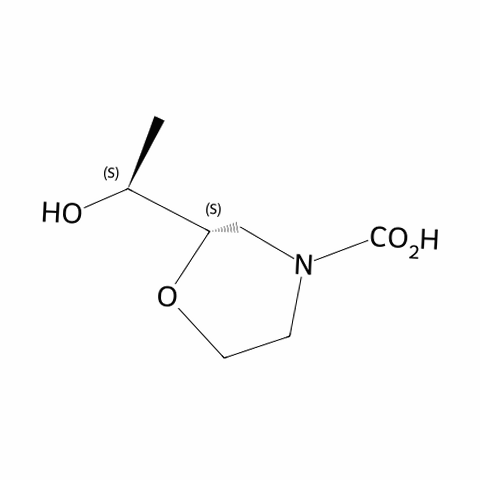 C[C@H](O)[C@@H]1CN(C(=O)O)CCO1